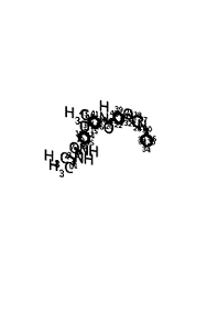 CCC(CC)NC(=O)Nc1ccc(Oc2ccc(NC(=O)c3ccc(OC4CCN(CC5CCCCC5)CC4)cc3)cc2C)cc1